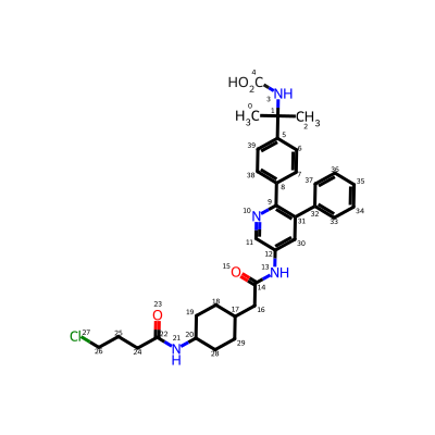 CC(C)(NC(=O)O)c1ccc(-c2ncc(NC(=O)CC3CCC(NC(=O)CCCCl)CC3)cc2-c2ccccc2)cc1